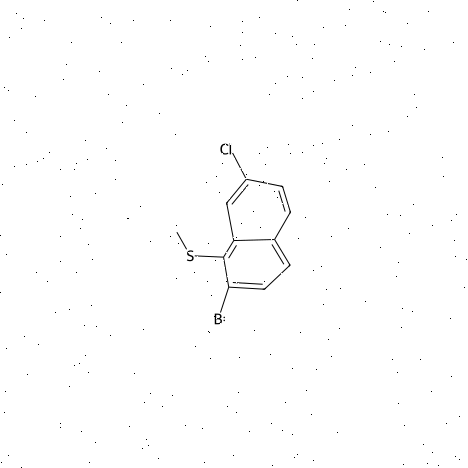 [B]c1ccc2ccc(Cl)cc2c1SC